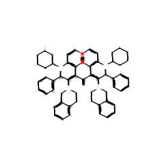 O=C(C1=C(N2CCc3ccccc3C2)C(c2ccccc2)N(C2CCCCC2)c2ccncc21)C1=C(N2CCc3ccccc3C2)C(c2ccccc2)N(C2CCCCC2)c2ccncc21